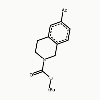 CC(=O)c1ccc2c(c1)CCN(C(=O)OC(C)(C)C)C2